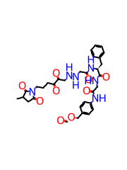 CC1CC(=O)N(CCCC(=O)C(=O)CNNCC(=O)N[C@@H](Cc2ccccc2)C(=O)NCC(=O)Nc2ccc(COC=O)cc2)C1=O